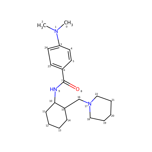 CN(C)c1ccc(C(=O)NC2CCCCC2CN2CCCCC2)cc1